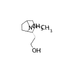 CN1C2CCC1[C@@H](CCO)N(C)C2